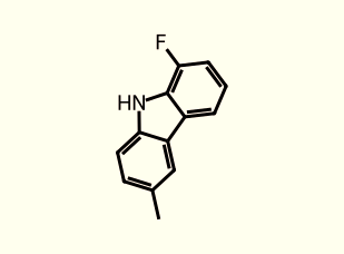 Cc1ccc2[nH]c3c(F)cccc3c2c1